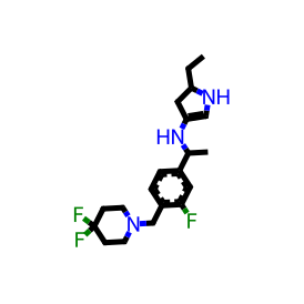 CCC1CC(NC(C)c2ccc(CN3CCC(F)(F)CC3)c(F)c2)=CN1